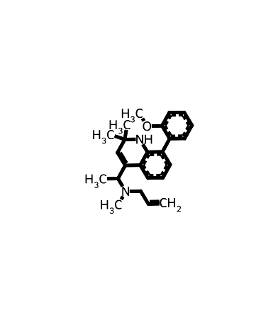 C=CCN(C)C(C)C1=CC(C)(C)Nc2c1cccc2-c1ccccc1OC